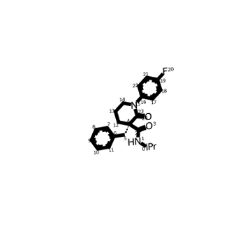 CC(C)NC(=O)[C@@]1(Cc2ccccc2)CCCN(c2ccc(F)cc2)C1=O